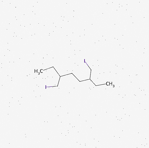 CCC(CI)CCC(CC)CI